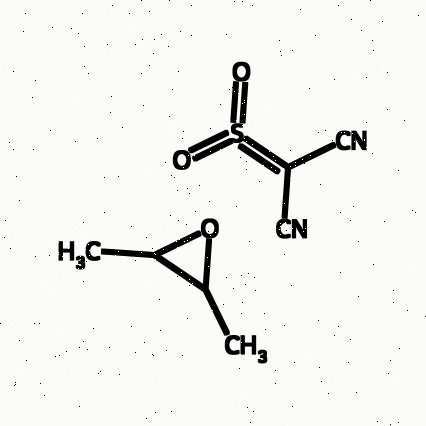 CC1OC1C.N#CC(C#N)=S(=O)=O